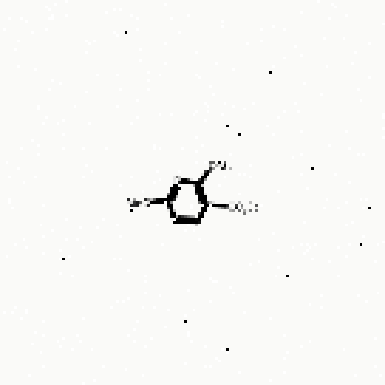 CCOC(=O)c1ccc(OC)nc1OC